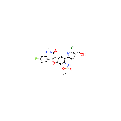 CCS(=O)(=O)Nc1cc2oc(-c3ccc(F)cc3)c(C(=O)NC)c2cc1-c1ccc(CO)c(Cl)n1